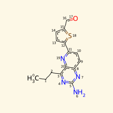 CCCc1nc(N)nc2ccc(-c3ccc(C=O)s3)nc12